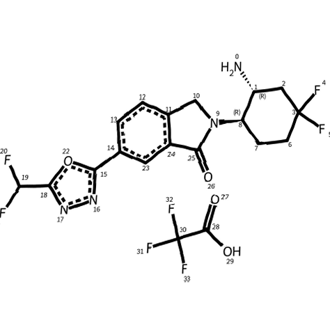 N[C@@H]1CC(F)(F)CC[C@H]1N1Cc2ccc(-c3nnc(C(F)F)o3)cc2C1=O.O=C(O)C(F)(F)F